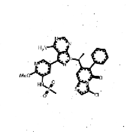 COc1ncc(-c2nn([C@@H](C)c3cc4scc(Cl)n4c(=O)c3-c3ccccc3)c3ncnc(N)c23)cc1NS(C)(=O)=O